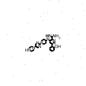 N=C(N)c1nnc(-c2ccccc2O)cc1NC1CCN(c2ncc(N3CCNCC3)cn2)CC1